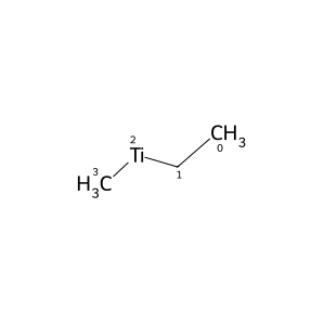 C[CH2][Ti][CH3]